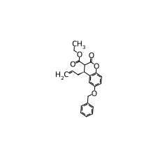 C=CC[C@@H]1c2cc(OCc3ccccc3)ccc2OC(=O)C1C(=O)OCC